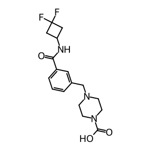 O=C(NC1CC(F)(F)C1)c1cccc(CN2CCN(C(=O)O)CC2)c1